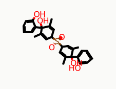 CC1=CC(S(=O)(=O)C2C=C(C)C(O)(c3ccccc3O)C(C)=C2)C=C(C)C1(O)c1ccccc1O